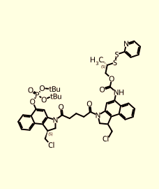 C[C@@H](COC(=O)Nc1cc2c(c3ccccc13)C(CCl)CN2C(=O)CCCC(=O)N1C[C@@H](CCl)c2c1cc(OP(=O)(OC(C)(C)C)OC(C)(C)C)c1ccccc21)SSc1ccccn1